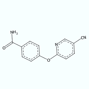 N#Cc1ccc(Oc2ccc(C(N)=O)cc2)nc1